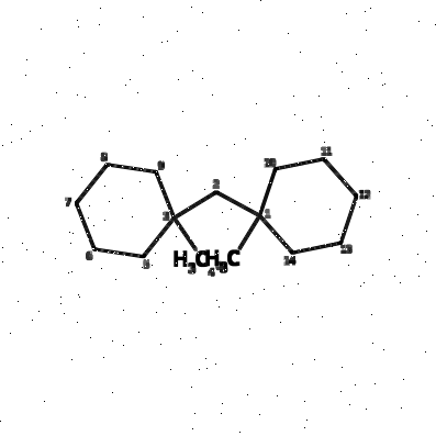 CC1(CC2(C)CCCCC2)CCCCC1